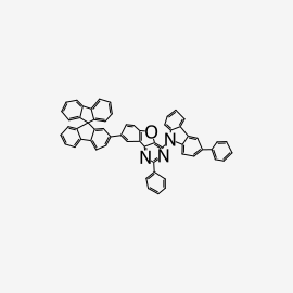 c1ccc(-c2ccc3c(c2)c2ccccc2n3-c2nc(-c3ccccc3)nc3c2oc2ccc(-c4ccc5c(c4)C4(c6ccccc6-c6ccccc64)c4ccccc4-5)cc23)cc1